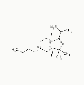 CCCC[C@@H]1CC[C@@H]2[C@@H](C1)C(C)(C)ON2C(C)C